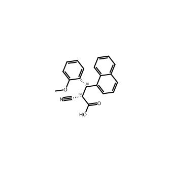 COc1ccccc1[C@H](c1cccc2ccccc12)[C@@H](C#N)C(=O)O